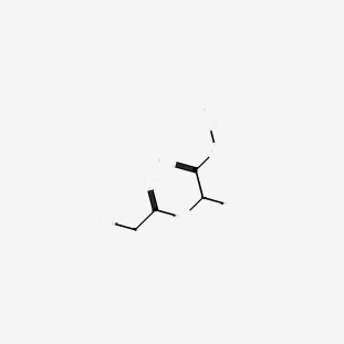 CC(OC(=O)CO)C(=O)OO